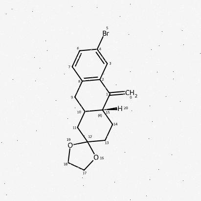 C=C1c2cc(Br)ccc2CC2CC3(CC[C@@H]12)OCCO3